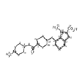 CN1CCN(CC(=O)N2CCN(Cc3cccc4cc(C(=O)O)n(C)c34)CC2)CC1